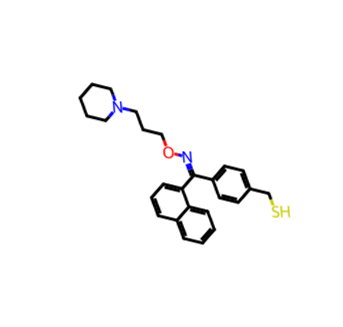 SCc1ccc(/C(=N/OCCCN2CCCCC2)c2cccc3ccccc23)cc1